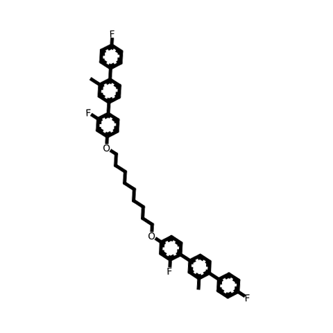 Cc1cc(-c2ccc(OCCCCCCCCCOc3ccc(-c4ccc(-c5ccc(F)cc5)c(C)c4)c(F)c3)cc2F)ccc1-c1ccc(F)cc1